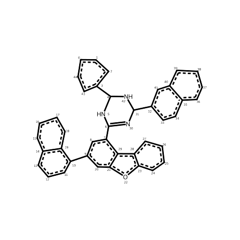 c1ccc(C2NC(c3cc(-c4cccc5ccccc45)cc4oc5ccccc5c34)=NC(c3ccc4ccccc4c3)N2)cc1